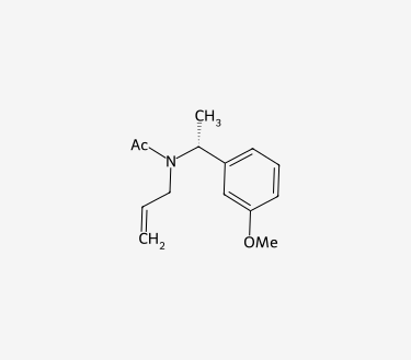 C=CCN(C(C)=O)[C@H](C)c1cccc(OC)c1